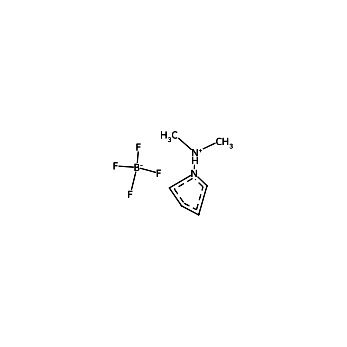 C[NH+](C)n1cccc1.F[B-](F)(F)F